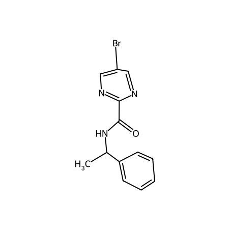 CC(NC(=O)c1ncc(Br)cn1)c1ccccc1